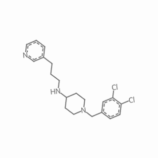 Clc1ccc(CN2CCC(NCCCc3cccnc3)CC2)cc1Cl